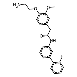 COc1cc(CC(=O)Nc2cccc(-c3ccccc3F)c2)ccc1OCCN